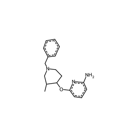 CC1CN(Cc2ccccc2)CCC1Oc1cccc(N)n1